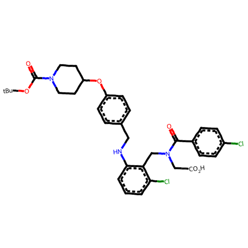 CC(C)(C)OC(=O)N1CCC(Oc2ccc(CNc3cccc(Cl)c3CN(CC(=O)O)C(=O)c3ccc(Cl)cc3)cc2)CC1